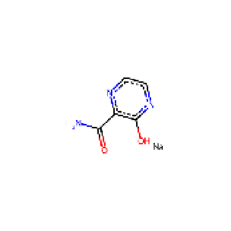 NC(=O)c1nccnc1O.[Na]